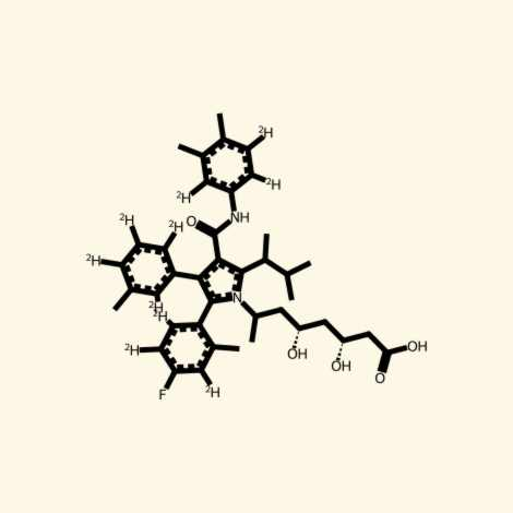 [2H]c1c([2H])c(C)c([2H])c(-c2c(C(=O)Nc3c([2H])c([2H])c(C)c(C)c3[2H])c(C(C)C(C)C)n(C(C)C[C@@H](O)C[C@@H](O)CC(=O)O)c2-c2c([2H])c([2H])c(F)c([2H])c2C)c1[2H]